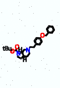 CC(C)(C)OC(=O)N1CC[C@@H]2CCN(CCc3ccc(OCc4ccccc4)cc3)C[C@@H]21